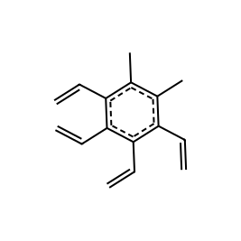 C=Cc1c(C)c(C)c(C=C)c(C=C)c1C=C